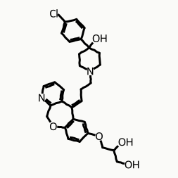 OCC(O)COc1ccc2c(c1)/C(=C/CCN1CCC(O)(c3ccc(Cl)cc3)CC1)c1cccnc1CO2